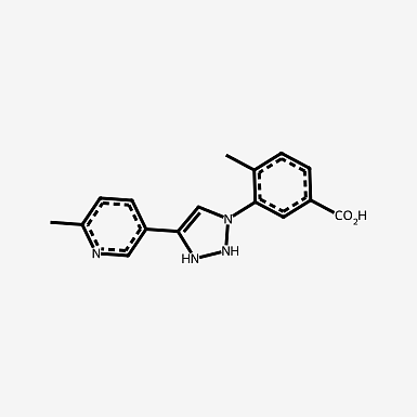 Cc1ccc(C2=CN(c3cc(C(=O)O)ccc3C)NN2)cn1